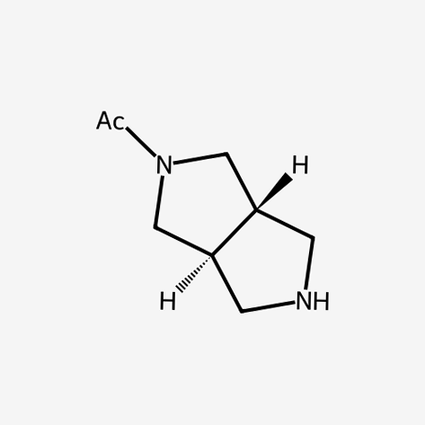 CC(=O)N1C[C@@H]2CNC[C@H]2C1